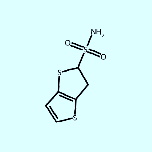 NS(=O)(=O)C1Cc2sccc2S1